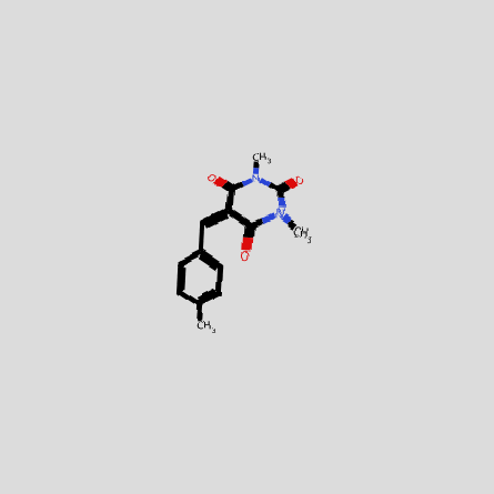 Cc1ccc(C=C2C(=O)N(C)C(=O)N(C)C2=O)cc1